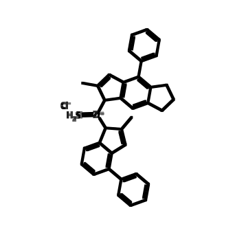 CC1=Cc2c(-c3ccccc3)cccc2[CH]1[Zr+](=[SiH2])[CH]1C(C)=Cc2c1cc1c(c2-c2ccccc2)CCC1.[Cl-]